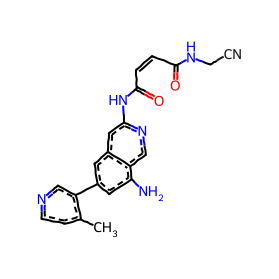 Cc1ccncc1-c1cc(N)c2cnc(NC(=O)/C=C\C(=O)NCC#N)cc2c1